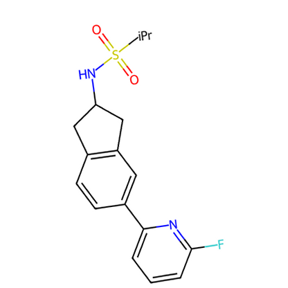 CC(C)S(=O)(=O)NC1Cc2ccc(-c3cccc(F)n3)cc2C1